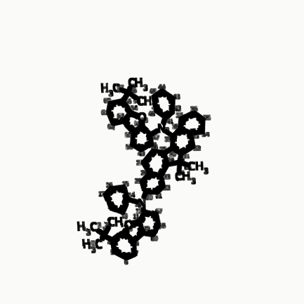 CC(C)(C)c1cccc2c1oc1c(N(c3ccccc3)c3ccc4c5c(ccc4c3)-c3c(cc4ccccc4c3N(c3ccccc3)c3cccc4c3oc3c(C(C)(C)C)cccc34)C5(C)C)cccc12